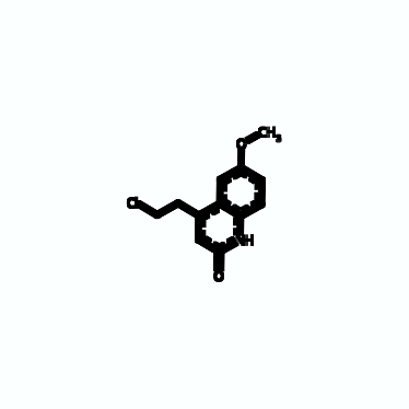 COc1ccc2[nH]c(=O)cc(CCCl)c2c1